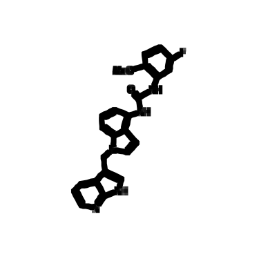 COc1ccc(F)cc1NC(=O)Nc1cccc2c1ccn2Cc1c[nH]c2ncccc12